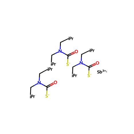 CC(C)CN(CC(C)C)C(=O)[S-].CC(C)CN(CC(C)C)C(=O)[S-].CC(C)CN(CC(C)C)C(=O)[S-].[Sb+3]